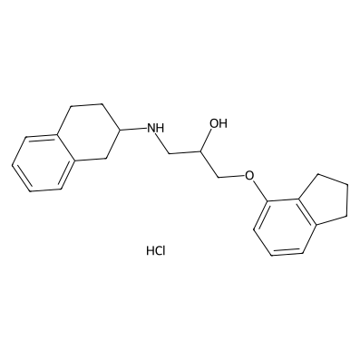 Cl.OC(CNC1CCc2ccccc2C1)COc1cccc2c1CCC2